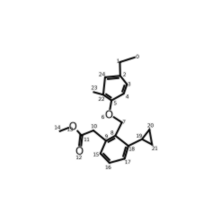 CCc1ccc(OCc2c(CC(=O)OC)cccc2C2CC2)c(C)c1